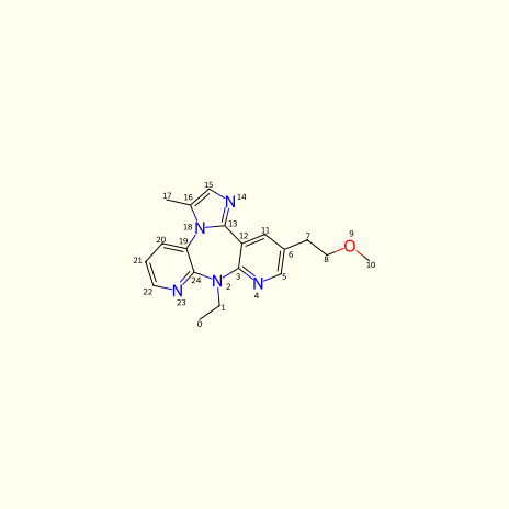 CCN1c2ncc(CCOC)cc2-c2ncc(C)n2-c2cccnc21